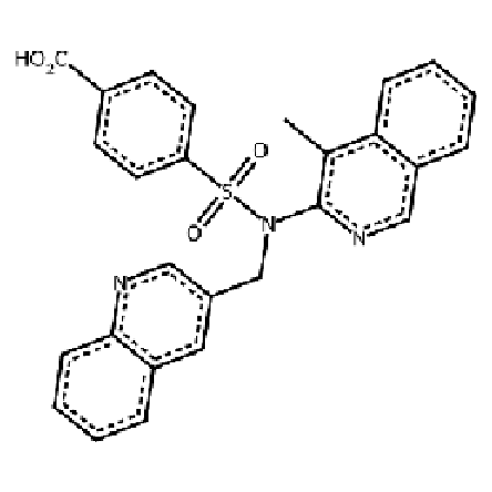 Cc1c(N(Cc2cnc3ccccc3c2)S(=O)(=O)c2ccc(C(=O)O)cc2)ncc2ccccc12